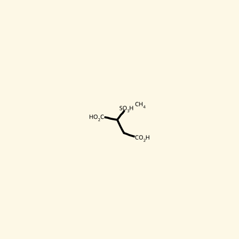 C.O=C(O)CC(C(=O)O)S(=O)(=O)O